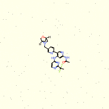 CC(=O)Nc1cc(Nc2ccnc(C(C)(F)F)n2)c(-c2ccc(CN3C[C@@H]4C[C@H]3CO4)cn2)cn1